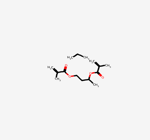 C=C(C)C(=O)OCCC(C)OC(=O)C(=C)C.CCC